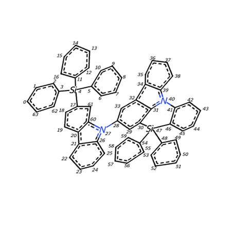 c1ccc([Si](c2ccccc2)(c2ccccc2)c2ccc3c4ccccc4n(-c4cc5c6c(c4)c4ccccc4n6-c4ccccc4[Si]5(c4ccccc4)c4ccccc4)c3c2)cc1